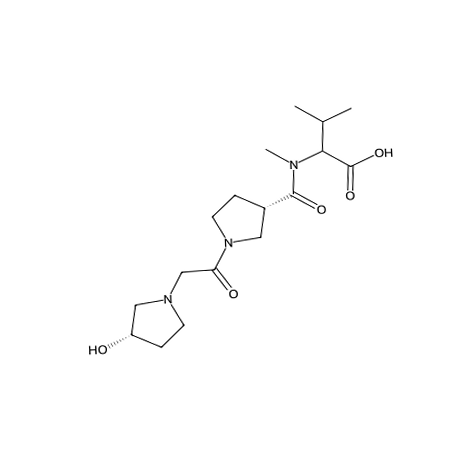 CC(C)C(C(=O)O)N(C)C(=O)[C@H]1CCN(C(=O)CN2CC[C@H](O)C2)C1